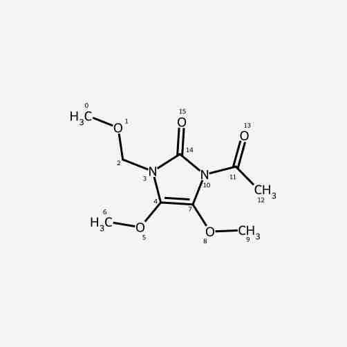 COCn1c(OC)c(OC)n(C(C)=O)c1=O